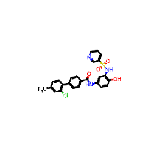 O=C(Nc1ccc(O)c(NS(=O)(=O)c2cccnc2)c1)c1ccc(-c2ccc(C(F)(F)F)cc2Cl)cc1